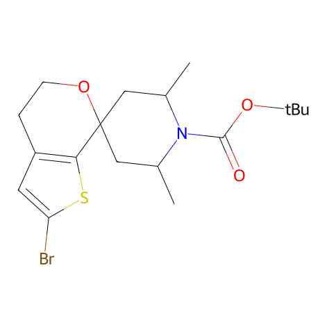 CC1CC2(CC(C)N1C(=O)OC(C)(C)C)OCCc1cc(Br)sc12